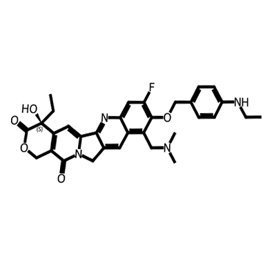 CCNc1ccc(COc2c(F)cc3nc4c(cc3c2CN(C)C)Cn2c-4cc3c(c2=O)COC(=O)[C@]3(O)CC)cc1